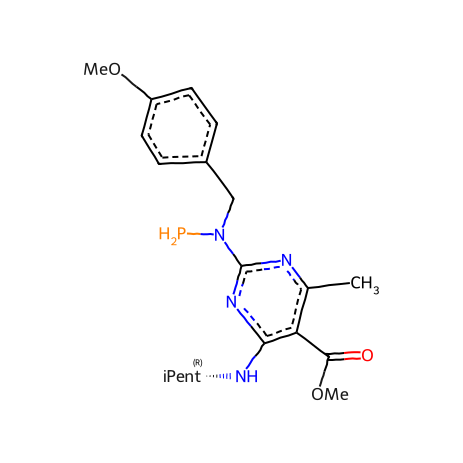 CCC[C@@H](C)Nc1nc(N(P)Cc2ccc(OC)cc2)nc(C)c1C(=O)OC